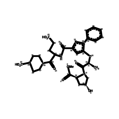 COC(=O)[C@@H]1C[C@@H](O)CN1C(=O)[C@H](C)Oc1cc(C(=O)NC(CCC(=O)O)C(=O)N2CCN(C(=O)O)CC2)nn1-c1ccccc1